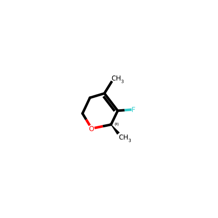 CC1=C(F)[C@@H](C)OCC1